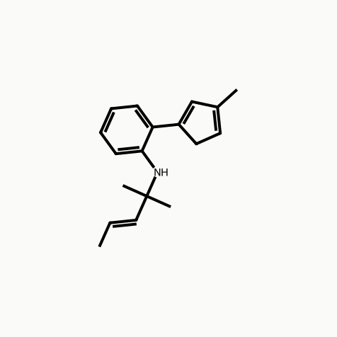 CC=CC(C)(C)Nc1ccccc1C1=CC(C)=CC1